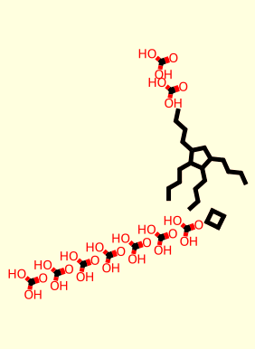 C1CCC1.CCCCC1CC(CCCC)C(CCCC)C1CCCC.O=C(O)O.O=C(O)O.O=C(O)O.O=C(O)O.O=C(O)O.O=C(O)O.O=C(O)O.O=C(O)O.O=C(O)O